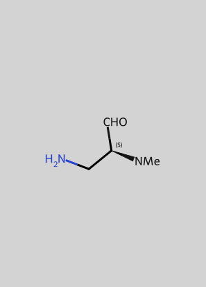 CN[C@H](C=O)CN